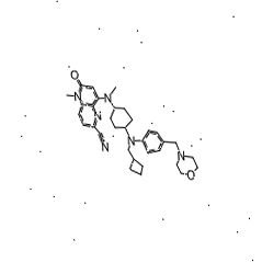 CN(c1cc(=O)n(C)c2ccc(C#N)nc12)C1CCC(N(CC2CCC2)c2ccc(CN3CCOCC3)cc2)CC1